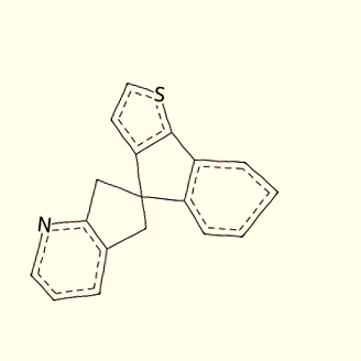 c1cnc2c(c1)CC1(C2)c2ccccc2-c2sccc21